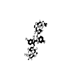 CC[C@H](NC(=O)[C@H](C)N(C)C(=O)O)C(=O)N1CC(F)(F)C[C@H]1Cc1c(-c2nc3cc(F)ccc3n2C[C@@H]2CC(F)(F)CN2C(=O)[C@H](CC)NC(=O)[C@H](C)N(C)C(=O)OC(C)(C)C)[nH]c2cc(F)ccc12